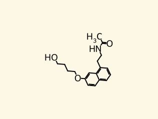 CC(=O)NCCc1cccc2ccc(OCCCCO)cc12